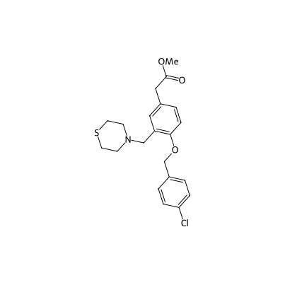 COC(=O)Cc1ccc(OCc2ccc(Cl)cc2)c(CN2CCSCC2)c1